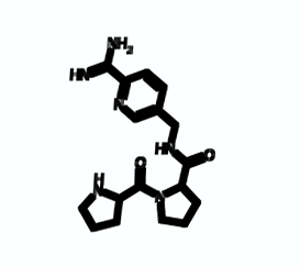 N=C(N)c1ccc(CNC(=O)C2CCCN2C(=O)C2CCCN2)cn1